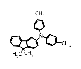 Cc1ccc(N(c2ccc(C)cc2)c2ccc3c(c2)-c2ccccc2C3(C)C)cc1